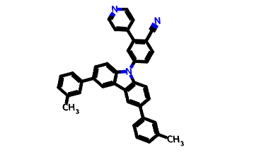 Cc1cccc(-c2ccc3c(c2)c2cc(-c4cccc(C)c4)ccc2n3-c2ccc(C#N)c(-c3ccncc3)c2)c1